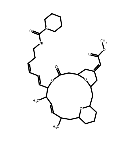 COC(=O)/C=C1\CC2CC(=O)OC(/C=C/C=C\CCNC(=O)N3CCCCC3)C(C)/C=C/C(C)CC3CCCC(CC(C1)O2)O3